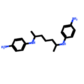 CC(CCCC(C)Nc1ccc(N)cc1)Nc1ccc(N)cc1